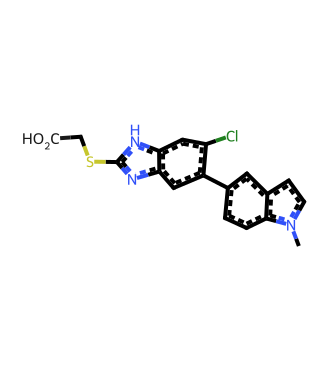 Cn1ccc2cc(-c3cc4nc(SCC(=O)O)[nH]c4cc3Cl)ccc21